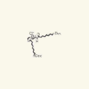 CCCCCCCCCCCCCCCCCC(=O)NCC[N+]1(C)C=CN=C1CCCCCCCCCCCCCCCCC.[Cl-]